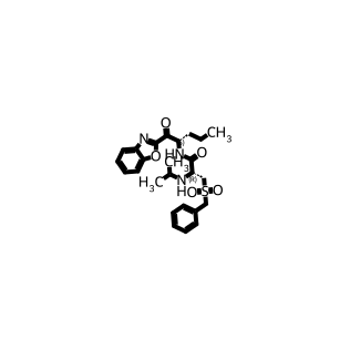 CCC[C@H](NC(=O)[C@H](CS(=O)(=O)Cc1ccccc1)NC(C)C)C(=O)c1nc2ccccc2o1